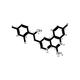 Cc1ccc(C(O)Cc2cnc3c(N)nc4cc(C)ccc4c3c2)c(C)c1